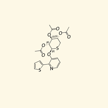 CC(=O)O[C@@H]1[C@@H](OC(C)=O)[C@H](OC(C)=O)CS[C@H]1Oc1cccnc1-c1cccs1